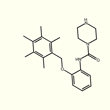 Cc1c(C)c(C)c(COc2ccccc2NC(=O)N2CCNCC2)c(C)c1C